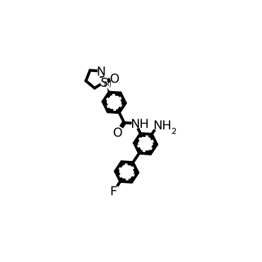 Nc1ccc(-c2ccc(F)cc2)cc1NC(=O)c1ccc([S@@]2(=O)=NCCC2)cc1